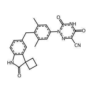 Cc1cc(-n2nc(C#N)c(=O)[nH]c2=O)cc(C)c1Cc1ccc2c(c1)C1(CCC1)C(=O)N2